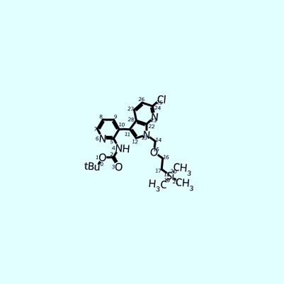 CC(C)(C)OC(=O)Nc1ncccc1-c1cn(COCC[Si](C)(C)C)c2nc(Cl)ccc12